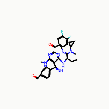 CCC(Nc1ncnc(NC)c1C(=N)c1ccc(C=O)cc1)/C(=N/c1cc(F)c(F)cc1C=O)N(C)C1CC1